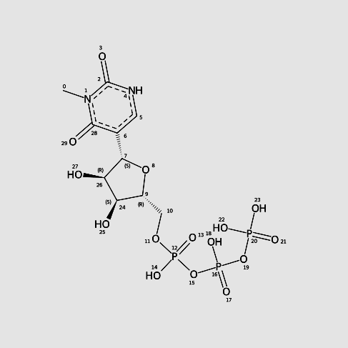 Cn1c(=O)[nH]cc([C@@H]2O[C@H](COP(=O)(O)OP(=O)(O)OP(=O)(O)O)[C@@H](O)[C@H]2O)c1=O